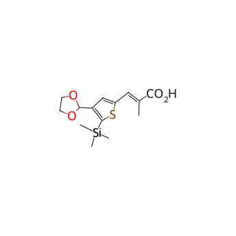 CC(=Cc1cc(C2OCCO2)c([Si](C)(C)C)s1)C(=O)O